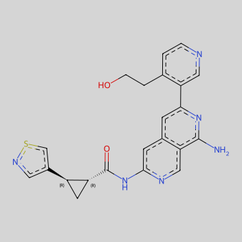 Nc1nc(-c2cnccc2CCO)cc2cc(NC(=O)[C@@H]3C[C@H]3c3cnsc3)ncc12